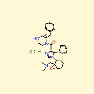 CCN(C)CC1(O)CCCCC1n1cnc(C(=O)N2CCNC[C@H]2Cc2ccccc2)c1-c1ccccc1.Cl.Cl